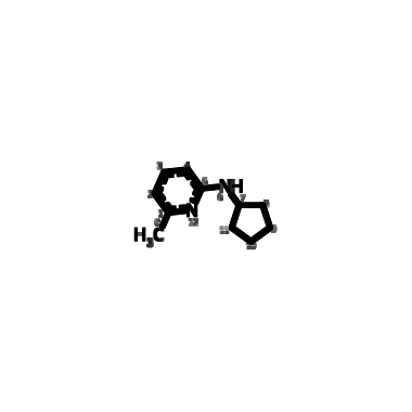 Cc1cccc(NC2CCCC2)n1